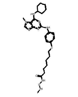 Cn1cnc2nc(Nc3ccc(OCCCCCCC(=O)NOPI)cc3)nc(NC3CCCCC3)c21